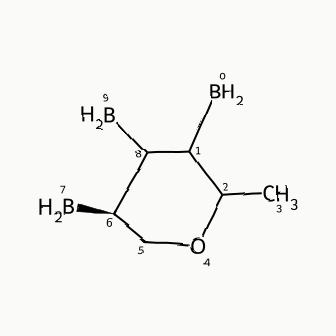 BC1C(C)OC[C@@H](B)C1B